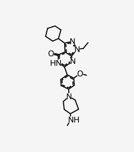 CCn1nc(C2CCCCC2)c2c(=O)[nH]c(-c3ccc(N4CCC(NC)CC4)cc3OC)nc21